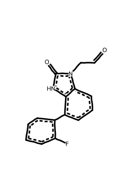 O=CCn1c(=O)[nH]c2c(-c3ccccc3F)cccc21